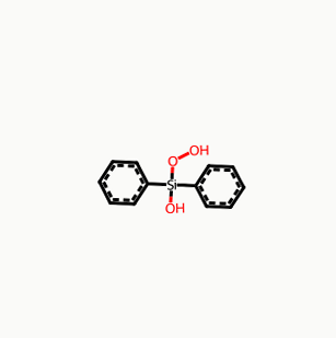 OO[Si](O)(c1ccccc1)c1ccccc1